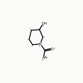 CCCC(=O)N1CCCC(O)C1